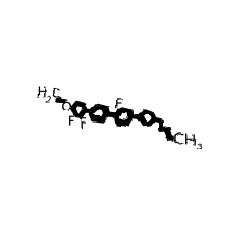 C=CCOc1ccc(-c2ccc(-c3ccc(C4=CCC(CC/C=C/C)CC4)cc3F)cc2)c(F)c1F